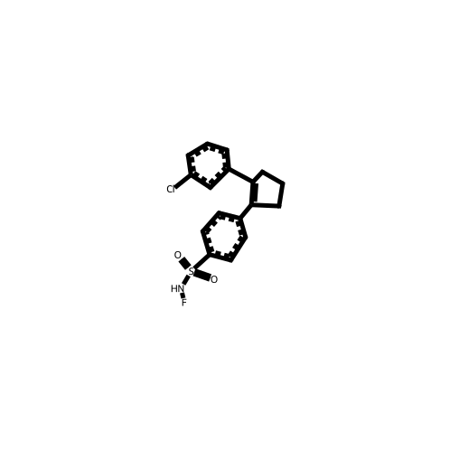 O=S(=O)(NF)c1ccc(C2=C(c3cccc(Cl)c3)CCC2)cc1